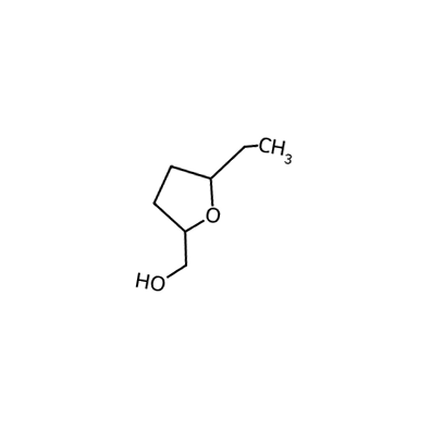 CCC1CCC(CO)O1